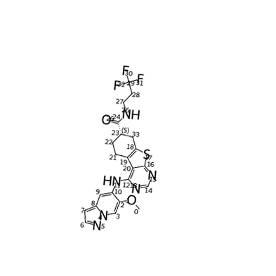 COc1cn2nccc2cc1Nc1ncnc2sc3c(c12)CC[C@H](C(=O)NCCC(F)(F)F)C3